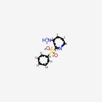 Nc1cccnc1S(=O)(=O)c1ccccc1